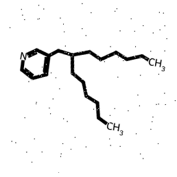 CCCCCCC(CCCCCC)Cc1cccnc1